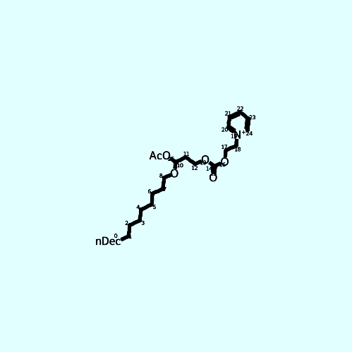 CCCCCCCCCCCCCCCCCCOC(CCOC(=O)OCC[n+]1ccccc1)OC(C)=O